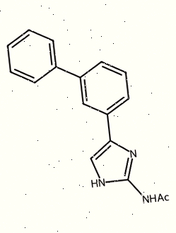 CC(=O)Nc1nc(-c2cccc(-c3ccccc3)c2)c[nH]1